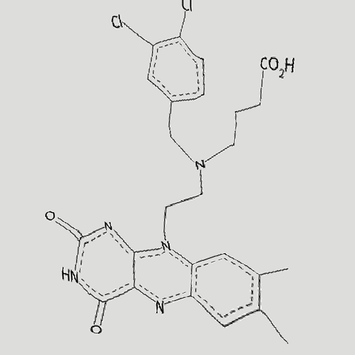 Cc1cc2nc3c(=O)[nH]c(=O)nc-3n(CCN(CCCC(=O)O)Cc3ccc(Cl)c(Cl)c3)c2cc1C